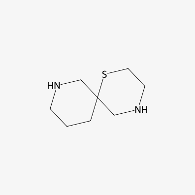 C1CNCC2(C1)CNCCS2